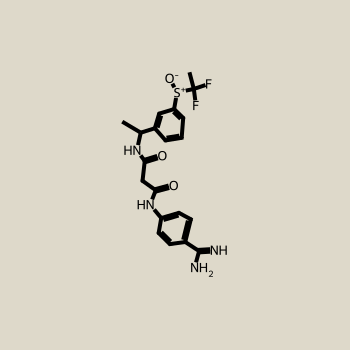 CC(NC(=O)CC(=O)Nc1ccc(C(=N)N)cc1)c1cccc([S+]([O-])C(C)(F)F)c1